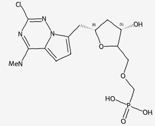 CNc1nc(Cl)nn2c(C[C@@H]3C[C@H](O)C(COCP(=O)(O)O)O3)ccc12